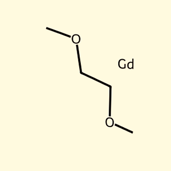 COCCOC.[Gd]